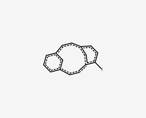 Ic1ccc2ccc3cccc(ccc1c2)c3